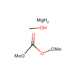 CO.COOC(=O)OC.[MgH2]